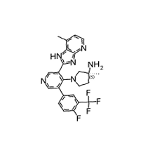 Cc1ccnc2nc(-c3cncc(-c4ccc(F)c(C(F)(F)F)c4)c3N3CC[C@](C)(N)C3)[nH]c12